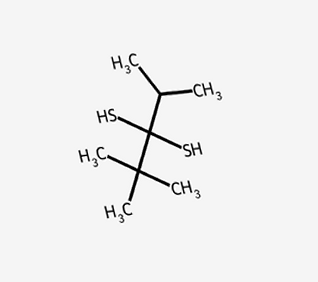 CC(C)C(S)(S)C(C)(C)C